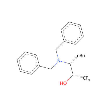 CCCC[C@H]([C@@H](O)C(F)(F)F)N(Cc1ccccc1)Cc1ccccc1